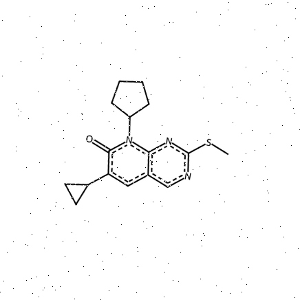 CSc1ncc2cc(C3CC3)c(=O)n(C3CCCC3)c2n1